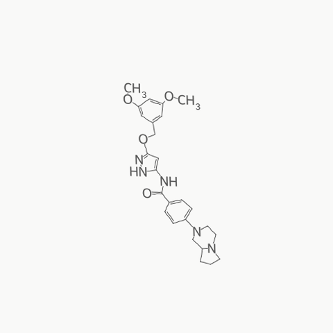 COc1cc(COc2cc(NC(=O)c3ccc(N4CCN5CCCC5C4)cc3)[nH]n2)cc(OC)c1